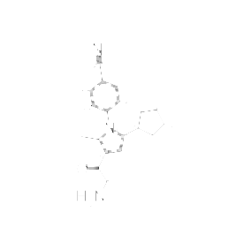 Cc1c(C(=O)CN)cc(C2CCCC2)n1-c1ccc(C#N)cc1